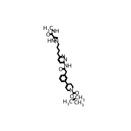 CNC(=O)c1cn(CCCCc2ccc(NC(=O)Cc3cccc(C4=CCN(C(=O)OC(C)(C)C)CC4)c3)nn2)[nH]1